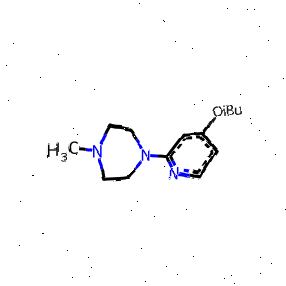 CC(C)COc1ccnc(N2CCN(C)CC2)c1